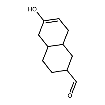 O=CC1CCC2CC(O)=CCC2C1